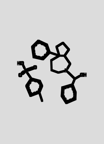 Cc1ccc(S(=O)(=O)O)cc1.OC(c1ccccc1)N1CCCC2(c3ccccc3)CCCC2C1